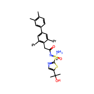 Cc1ccc(-c2cc(C(C)C)c(CC(=O)N=[S@@](N)(=O)c3ncc(C(C)(C)O)s3)c(C(C)C)c2)cc1C